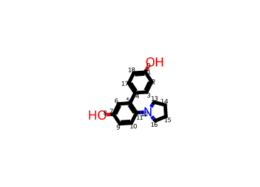 Oc1ccc(-c2cc(O)ccc2N2CCCC2)cc1